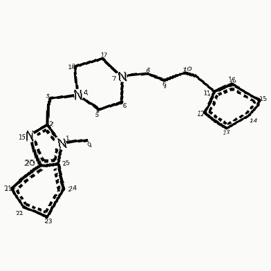 Cn1c(CN2CCN(CCCc3ccccc3)CC2)nc2ccccc21